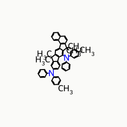 Cc1ccc(N(c2ccccc2)c2ccc3c(c2)C(C)(C)c2cc4c(c(N(c5ccccc5)c5ccc(C)cc5)c2-3)C(C)(C)c2ccc3ccccc3c2-4)cc1